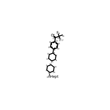 CCCCCCC[C@H]1CC[C@H](C2CCC(c3ccc(C(=O)C(C)(F)F)cc3)CC2)CC1